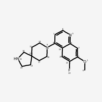 COc1cc2nccc(N3CCC4(CCNC4)CC3)c2cc1F